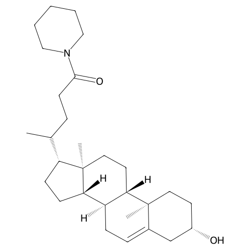 CC(CCC(=O)N1CCCCC1)[C@H]1CC[C@H]2[C@@H]3CC=C4C[C@@H](O)CC[C@]4(C)[C@H]3CC[C@]12C